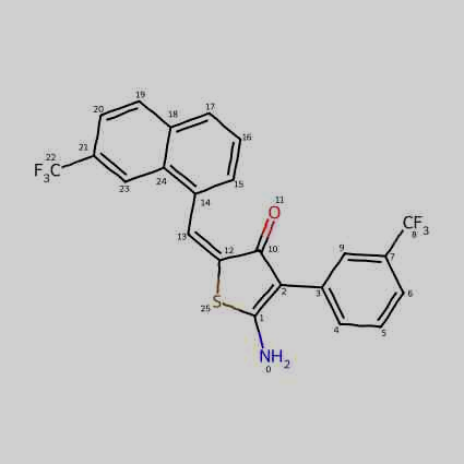 NC1=C(c2cccc(C(F)(F)F)c2)C(=O)C(=Cc2cccc3ccc(C(F)(F)F)cc23)S1